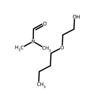 CCCCOCCO.CN(C)C=O